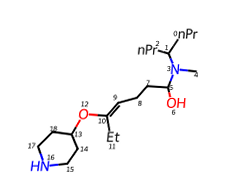 CCCC(CCC)N(C)C(O)CC/C=C(\CC)OC1CCNCC1